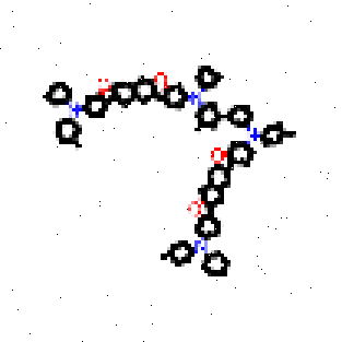 Cc1ccc(N(c2ccccc2)c2ccc3c(c2)oc2cc4cc5oc6cc(N(c7ccc(C)cc7)c7cccc(-c8cc(C)cc(N(c9ccccc9)c9ccc%10c(c9)oc9cc%11cc%12oc%13cc(N(c%14ccccc%14)c%14cccc(C)c%14)ccc%13c%12cc%11cc9%10)c8)c7)ccc6c5cc4cc23)cc1